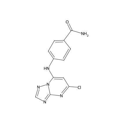 NC(=O)c1ccc(Nc2cc(Cl)nc3ncnn23)cc1